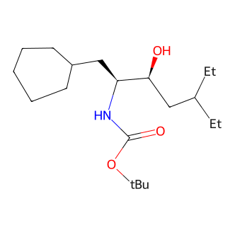 CCC(CC)C[C@H](O)[C@H](CC1CCCCC1)NC(=O)OC(C)(C)C